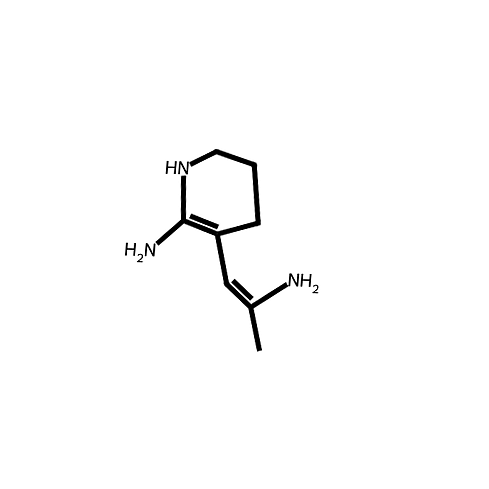 C/C(N)=C/C1=C(N)NCCC1